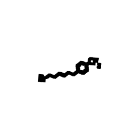 FC(F)(F)c1ccc(CCC=CCCBr)cc1